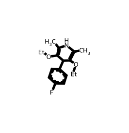 CCOC1=C(C)NC(C)=C(OCC)C1c1ccc(F)cc1